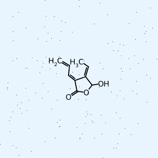 C=C/C=C1/C(=O)OC(O)/C1=C/C